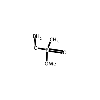 BOP(C)(=O)OC